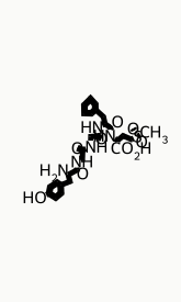 CS(=O)(=O)CCC(NC(=O)C(Cc1ccccc1)NC(=O)CNC(=O)CNC(=O)C(N)Cc1ccc(O)cc1)C(=O)O